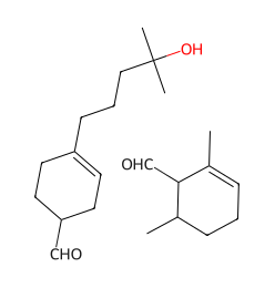 CC(C)(O)CCCC1=CCC(C=O)CC1.CC1=CCCC(C)C1C=O